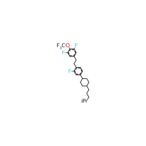 CC(C)CCCC1CCC(c2ccc(CCc3cc(F)c(OC(F)(F)F)c(F)c3)c(F)c2)CC1